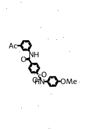 COc1ccc(NS(=O)(=O)c2ccc(C(=O)Nc3cccc(C(C)=O)c3)cc2)cc1